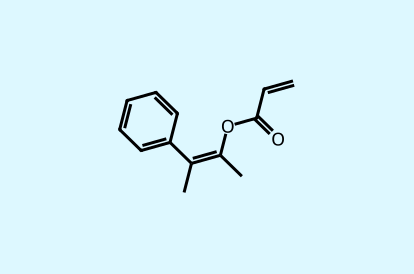 C=CC(=O)OC(C)=C(C)c1ccccc1